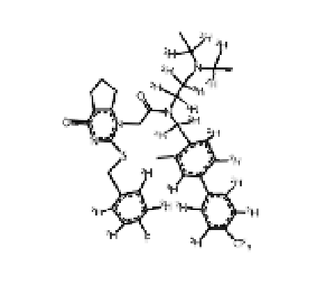 [2H]c1c([2H])c(CSc2nc(=O)c3c(n2CC(=O)N(C([2H])([2H])c2c([2H])c([2H])c(-c4c([2H])c([2H])c(C(F)(F)F)c([2H])c4[2H])c([2H])c2C)C([2H])([2H])C([2H])([2H])N(C([2H])([2H])C)C([2H])([2H])C)CCC3)c([2H])c([2H])c1F